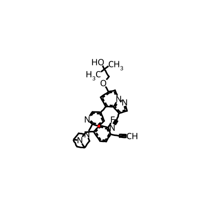 C#Cc1ccc(CN2C3CC2CN(c2ccc(-c4cc(OCC(C)(C)O)cn5ncc(C#N)c45)cn2)C3)cc1F